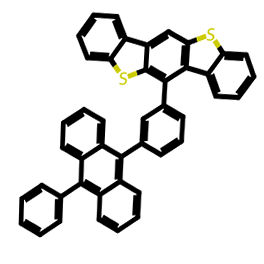 c1ccc(-c2c3ccccc3c(-c3cccc(-c4c5sc6ccccc6c5cc5sc6ccccc6c45)c3)c3ccccc23)cc1